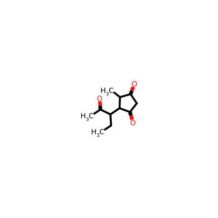 CCC(C(C)=O)C1C(=O)CC(=O)C1C